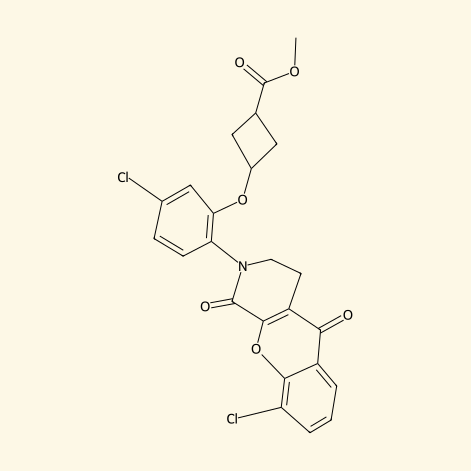 COC(=O)C1CC(Oc2cc(Cl)ccc2N2CCc3c(oc4c(Cl)cccc4c3=O)C2=O)C1